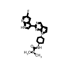 CN(C)C(=O)N[C@H]1CC[C@H](n2ccc3cnc(-c4c[nH]c5ncc(F)cc45)nc32)CC1